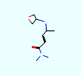 CC(C=CC(=O)N(C)C)NC1COC1